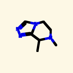 CC1c2nncn2CCN1C